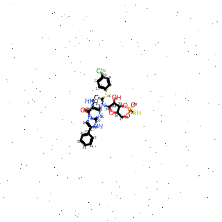 CNc1c(N(CSc2ccc(Cl)cc2)C2OC3CO[P@@](=O)(S)OC3C2O)nc2[nH]c(-c3ccccc3)cn2c1=O